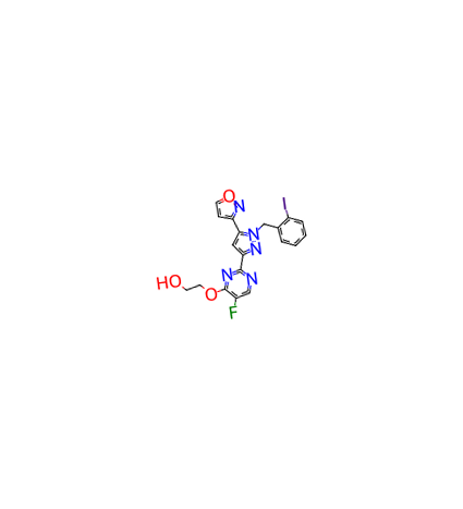 OCCOc1nc(-c2cc(-c3ccon3)n(Cc3ccccc3I)n2)ncc1F